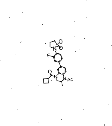 CC(=O)N1c2ccc(-c3ccc(N4CCCS4(=O)=O)c(F)c3)cc2N(C(=O)C2CCC2)C[C@@H]1C